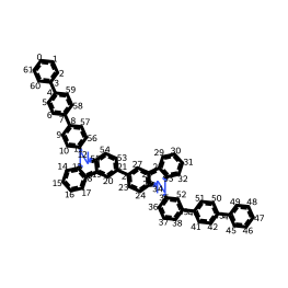 c1ccc(-c2ccc(-c3ccc(-n4c5ccccc5c5cc(-c6ccc7c(c6)c6ccccc6n7-c6cccc(-c7ccc(-c8ccccc8)cc7)c6)ccc54)cc3)cc2)cc1